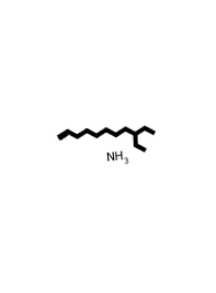 C=CCCCCCCC(CC)CC.N